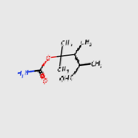 CC(C=O)C(C)C(C)(C)OC(N)=O